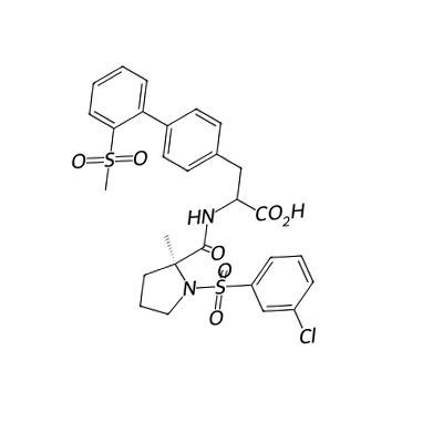 C[C@@]1(C(=O)NC(Cc2ccc(-c3ccccc3S(C)(=O)=O)cc2)C(=O)O)CCCN1S(=O)(=O)c1cccc(Cl)c1